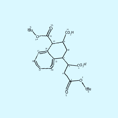 CC(C)(C)OC(=O)CC(C(=O)O)C1CC(C(=O)O)C(C(=O)OC(C)(C)C)c2ccccc21